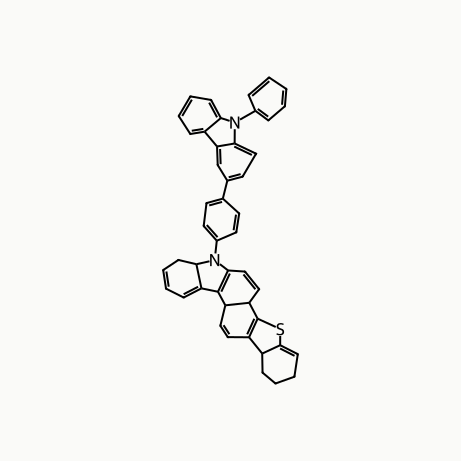 C1=CCC2C(=C1)C1=C(C=CC3C4=C(C=CC13)C1CCCC=C1S4)N2c1ccc(-c2ccc3c(c2)c2ccccc2n3-c2ccccc2)cc1